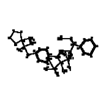 [2H]C([2H])([2H])C(O)([C@H](NC(=O)[C@@H](CO)c1ccccc1)c1ccc(OC([2H])([2H])C2(C)CCCC2)cc1)C([2H])([2H])[2H]